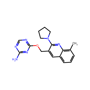 Cc1cccc2cc(COc3ncnc(N)n3)c(N3CCCC3)nc12